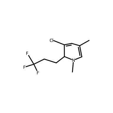 CC1=CN(C)C(CCC(F)(F)F)C(Cl)=C1